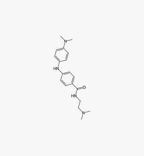 CN(C)CCNC(=O)c1ccc(Nc2ccc(N(C)C)cc2)cc1